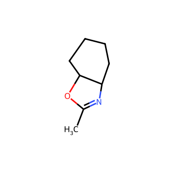 CC1=NC2CCCCC2O1